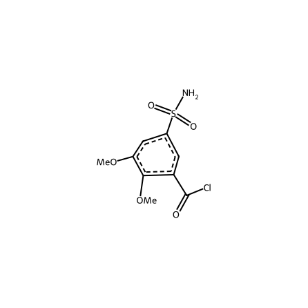 COc1cc(S(N)(=O)=O)cc(C(=O)Cl)c1OC